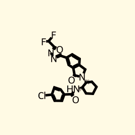 O=C(N[C@@H]1CCCC[C@H]1N1Cc2ccc(-c3nnc(C(F)F)o3)cc2C1=O)c1ccc(Cl)cc1